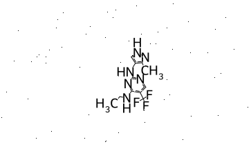 CCNc1nc(Nc2c[nH]nc2C)ncc1C(F)(F)F